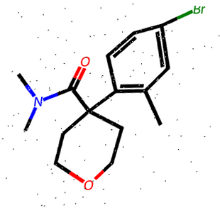 Cc1cc(Br)ccc1C1(C(=O)N(C)C)CCOCC1